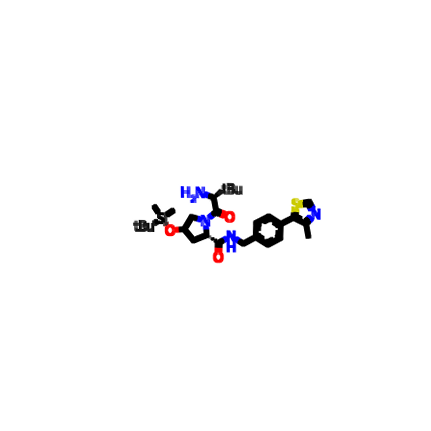 Cc1ncsc1-c1ccc(CNC(=O)[C@@H]2CC(O[Si](C)(C)C(C)(C)C)CN2C(=O)[C@@H](N)C(C)(C)C)cc1